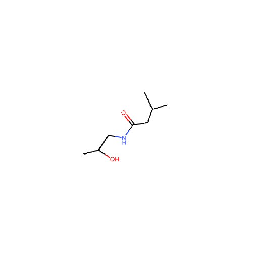 CC(C)CC(=O)NCC(C)O